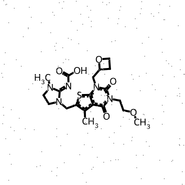 COCCn1c(=O)c2c(C)c(CN3CCN(C)C3=NC(=O)O)sc2n(CC2CCO2)c1=O